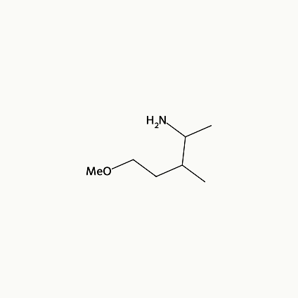 COCCC(C)C(C)N